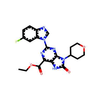 CCOC(=O)c1nc(-n2cnc3ccc(F)cc32)nc2c1[nH]c(=O)n2C1CCOCC1